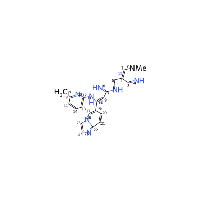 CN/C=C(\C=N)CNC(=N)/C=C(\Nc1cccc(C)n1)c1ccc2nccn2c1